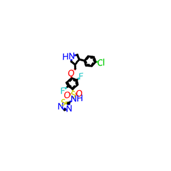 O=S(=O)(Nc1ncns1)c1cc(F)c(OCC2CNCC2c2ccc(Cl)cc2)cc1F